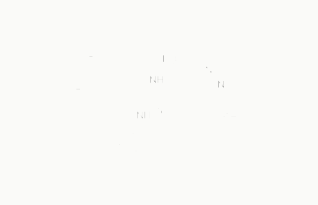 Cc1cc(C(=O)Nc2cc(F)c(F)cc2NC2CC2)c(C)nn1